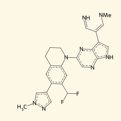 CN/C=C(\C=N)c1c[nH]c2ncc(N3CCCc4cc(-c5cnn(C)c5)c(C(F)F)cc43)nc12